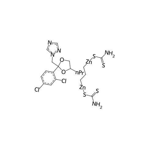 CCCC1COC(Cn2cncn2)(c2ccc(Cl)cc2Cl)O1.NC(=S)[S][Zn][CH2]C[CH2][Zn][S]C(N)=S